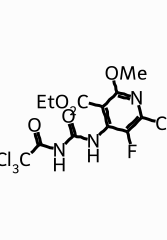 CCOC(=O)c1c(OC)nc(Cl)c(F)c1NC(=O)NC(=O)C(Cl)(Cl)Cl